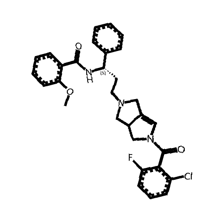 COc1ccccc1C(=O)N[C@@H](CCN1CC2=CN(C(=O)c3c(F)cccc3Cl)CC2C1)c1ccccc1